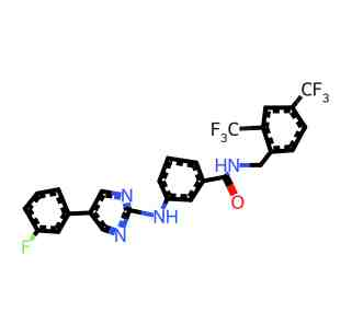 O=C(NCc1ccc(C(F)(F)F)cc1C(F)(F)F)c1cccc(Nc2ncc(-c3cccc(F)c3)cn2)c1